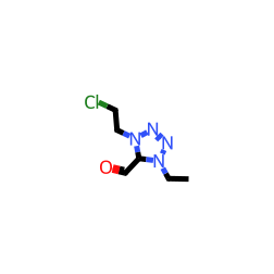 CCN1N=NN(CCCl)C1C=O